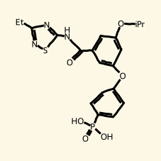 CCc1nsc(NC(=O)c2cc(Oc3ccc(P(=O)(O)O)cc3)cc(OC(C)C)c2)n1